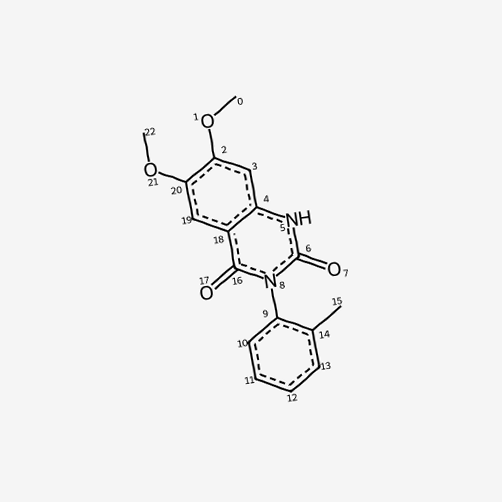 COc1cc2[nH]c(=O)n(-c3ccccc3C)c(=O)c2cc1OC